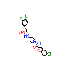 O=C(NN1CCC(NCC(O)COc2ccc(Cl)c(F)c2)CC1)c1cc2c(o1)CCC(Cl)=C2